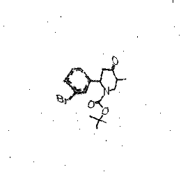 CC1CN(C(=O)OC(C)(C)C)C(c2cccc(Br)c2)CC1=O